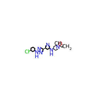 C=CC(=O)N1CCC(Nc2cncc(-c3cnc(Nc4cccc(Cl)c4)nc3)c2)CC1C